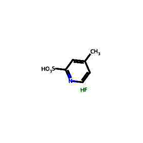 Cc1ccnc(S(=O)(=O)O)c1.F